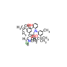 CN(C)Cl.COCCN(c1ccccc1-c1cc(C)cc(C(C)(C)C)c1O)c1cc(C)cc(C(C)(C)C)c1O.[Ti]